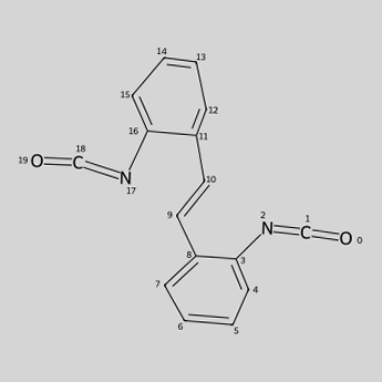 O=C=Nc1ccccc1C=Cc1ccccc1N=C=O